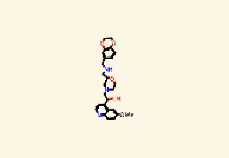 COc1ccc2nccc(C(O)CN3CCOC(CNCc4ccc5c(c4)OCCO5)C3)c2c1